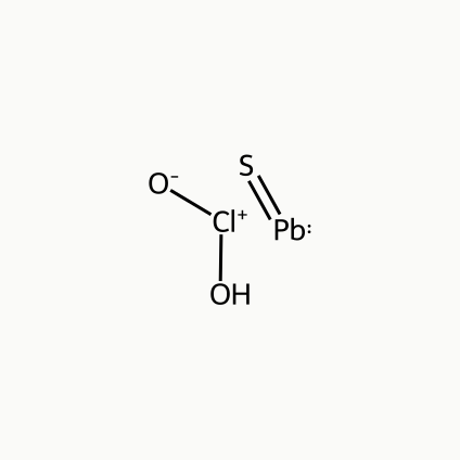 [O-][Cl+]O.[S]=[Pb]